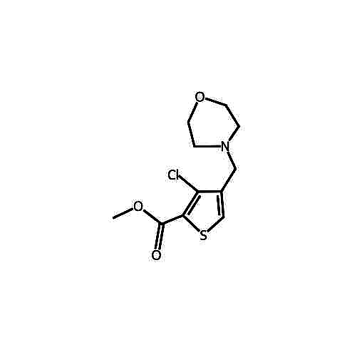 COC(=O)c1scc(CN2CCOCC2)c1Cl